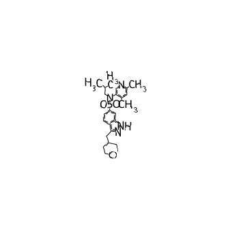 Cc1cc(C)c(N(CC(C)C)S(=O)(=O)c2ccc3c(CC4CCOCC4)n[nH]c3c2)cn1